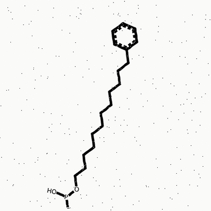 OP(O)OCCCCCCCCCCCCc1ccccc1